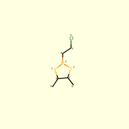 CC1SP(CCCl)SC1C